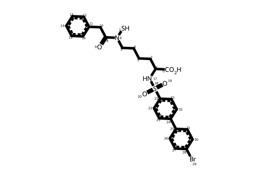 O=C(O)C(CCCCN(S)C(=O)Cc1ccccc1)NS(=O)(=O)c1ccc(-c2ccc(Br)cc2)cc1